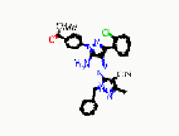 COC(=O)c1ccc(-n2nc(-c3ccccc3Cl)c(/N=N/c3c(C#N)c(C)nn3Cc3ccccc3)c2N)cc1